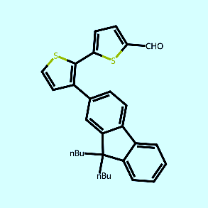 CCCCC1(CCCC)c2ccccc2-c2ccc(-c3ccsc3-c3ccc(C=O)s3)cc21